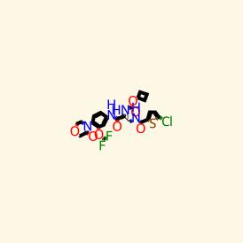 O=C(N[C@H](CNC(=O)c1ccc(Cl)s1)C(=O)Nc1ccc(N2CCOCC2=O)c(OC(F)F)c1)OC1CCC1